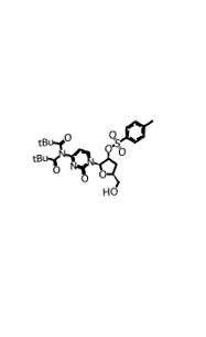 Cc1ccc(S(=O)(=O)O[C@H]2C[C@@H](CO)O[C@H]2n2ccc(N(C(=O)C(C)(C)C)C(=O)C(C)(C)C)nc2=O)cc1